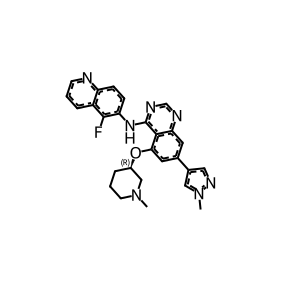 CN1CCC[C@@H](Oc2cc(-c3cnn(C)c3)cc3ncnc(Nc4ccc5ncccc5c4F)c23)C1